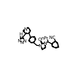 CCCC(c1ccccc1C#N)n1ccn(Cc2ccc(-c3ccncc3-c3nnn[nH]3)cc2)c1=O